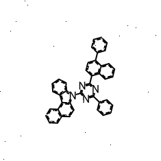 c1ccc(-c2nc(-c3ccc(-c4ccccc4)c4ccccc34)nc(-n3c4ccccc4c4c5ccccc5ccc43)n2)cc1